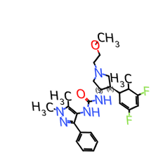 COCCN1C[C@@H](NC(=O)Nc2c(-c3ccccc3)nn(C)c2C)[C@H](C2C=C(F)C=C(F)C2C)C1